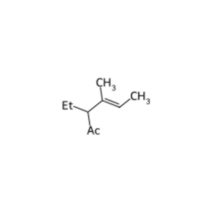 C/C=C(\C)C(CC)C(C)=O